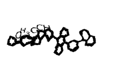 CC1(C)c2ccc(-c3c4ccccc4c(C4=CC=CC(C5C=CC=C6C=CC=CC65)C4)c4ccccc34)cc2-c2ccc3cc4c(cc3c21)oc1ccccc14